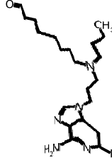 CCCCN(CCCCCCCC=O)CCCN1C=NC2C(N)=NC(I)CC21